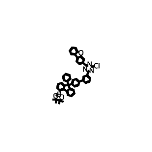 CC1(C)OB(c2cccc3c2-c2ccccc2C3(c2ccccc2)c2ccc(-c3cccc(-c4nc(Cl)nc(-c5ccc6c(c5)oc5ccccc56)n4)c3)cc2)OC1(C)C